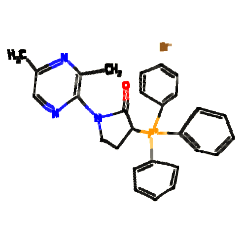 Cc1cnc(N2CCC([P+](c3ccccc3)(c3ccccc3)c3ccccc3)C2=O)c(C)n1.[Br-]